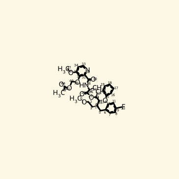 COCC[C@H](Cc1ccc(F)cc1)[C@@H](Oc1ccccc1)[C@H](C)OC(=O)[C@H](C)NC(=O)c1nccc(OC)c1OCOC(C)=O